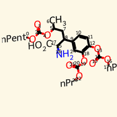 CCCCCOC(=O)OC(C)CC(c1ccc(OC(=O)OCCC)c(OC(=O)OCCC)c1)[C@H](N)C(=O)O